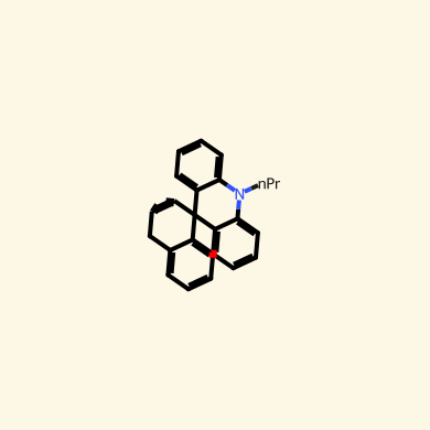 CCCN1c2ccccc2C2(c3ccccc3Cc3ccccc32)c2ccccc21